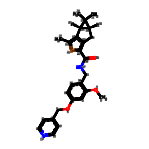 COc1cc(OCc2ccncc2)ccc1CNC(=O)c1sc(C)c2c1C[C@@H]1[C@H]2C1(C)C